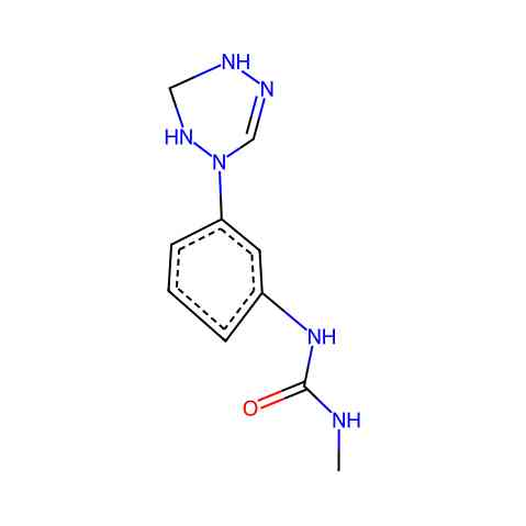 CNC(=O)Nc1cccc(N2C=NNCN2)c1